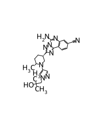 C[C@H]1CC[C@@H](c2nc3c4ccc(C#N)cc4nc(N)n3n2)CN1c1cnn(CC(C)(C)O)c1